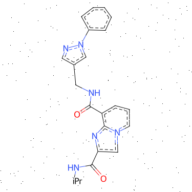 CC(C)NC(=O)c1cn2cccc(C(=O)NCc3cnn(-c4ccccc4)c3)c2n1